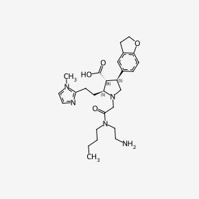 CCCCN(CCN)C(=O)CN1C[C@H](c2ccc3c(c2)CCO3)[C@@H](C(=O)O)[C@@H]1CCc1nccn1C